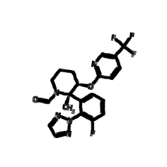 C[C@]1(c2cccc(F)c2-n2nccn2)[C@H](Oc2ccc(C(F)(F)F)cn2)CCCN1C=O